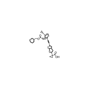 O=C(Nc1c(C2CC2)nsc1C#Cc1cc2cc(C3(C(=O)O)CC3)sc2s1)OCc1ccccc1